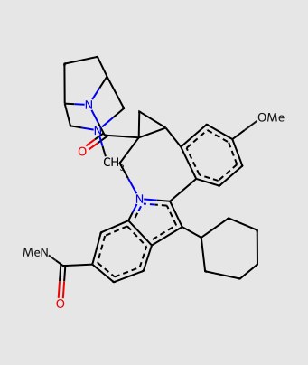 CNC(=O)c1ccc2c(C3CCCCC3)c3n(c2c1)CC1(C(=O)N2C4CCC2CN(C)C4)CC1c1cc(OC)ccc1-3